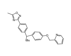 Cc1nc(-c2ccc(C(c3ccc(OCc4ccccn4)cc3)C(C)(C)C)cc2)no1